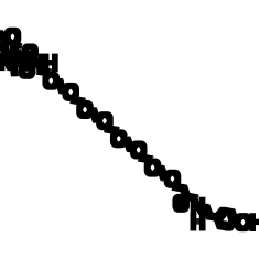 CC(=O)Nc1nc(C)c(S(=O)(=O)NCCOCCOCCOCCOCCOCCOCCOCCOCCC(=O)CNCCc2ccc(O)cc2)s1